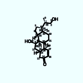 C[C@H](CO)[C@H]1CC[C@H]2[C@@H]3[C@H](O)C[C@H]4CC(=O)C=C[C@]4(C)[C@H]3CC[C@]12C